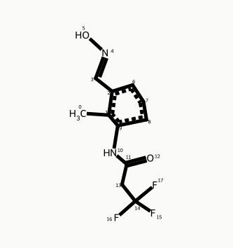 Cc1c(C=NO)cccc1NC(=O)CC(F)(F)F